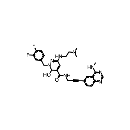 CNc1ncnc2ccc(C#CCNC(=O)C3=CC(NCCN(C)C)=NN(Cc4ccc(F)c(F)c4)C3O)cc12